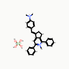 CN(C)c1ccc(C=C2CCc3c2cc(-c2ccccc2)[n+](C)c3-c2ccccc2)cc1.[O-][Cl+3]([O-])([O-])[O-]